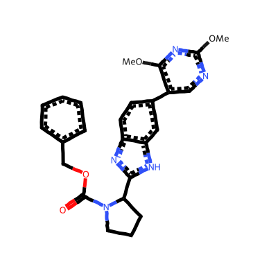 COc1ncc(-c2ccc3nc(C4CCCN4C(=O)OCc4ccccc4)[nH]c3c2)c(OC)n1